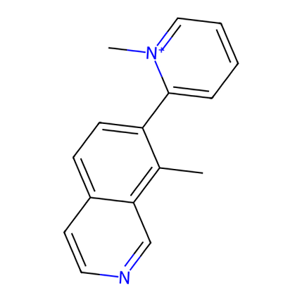 Cc1c(-c2cccc[n+]2C)ccc2ccncc12